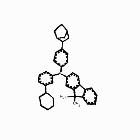 CC1(C)c2ccccc2-c2ccc(N(c3ccc(C4CC5CCC4C5)cc3)c3cccc(C4CCCCC4)c3)cc21